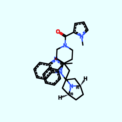 Cc1nc2ccccc2n1C1C[C@H]2CC[C@@H](C1)N2CCC1(c2ccccc2)CCN(C(=O)c2cccn2C)CC1